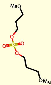 COCCCOS(=O)(=O)OCCCOC